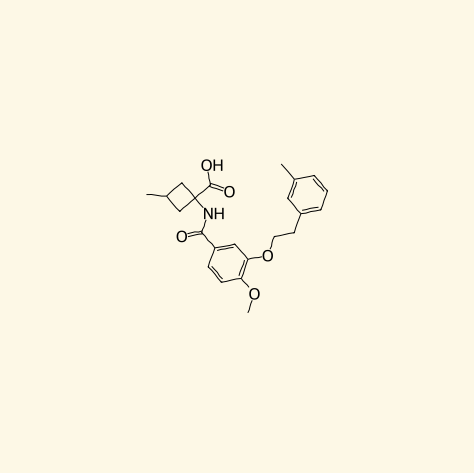 COc1ccc(C(=O)NC2(C(=O)O)CC(C)C2)cc1OCCc1cccc(C)c1